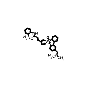 CN(C)Cc1cccc(-c2ccccc2S(=O)(=O)n2ccc(C=CC(=O)Nc3ccccc3N)c2)c1